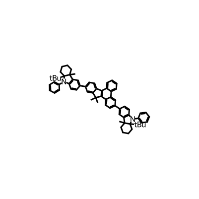 CC1(C)c2cc(-c3ccc4c(c3)C3(C)CCCCC3(C(C)(C)C)N4c3ccccc3)ccc2-c2c1c1ccc(-c3ccc4c(c3)C3(C)CCCCC3(C(C)(C)C)N4c3ccccc3)cc1c1ccccc21